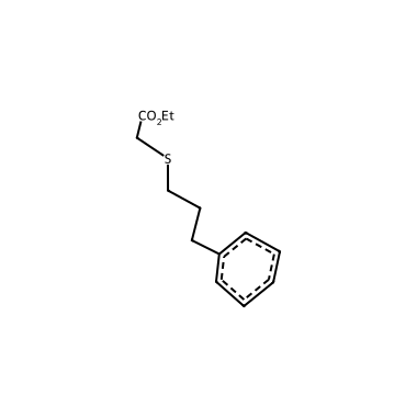 CCOC(=O)CSCCCc1ccccc1